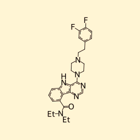 CCN(CC)C(=O)c1cccc2[nH]c3c(N4CCN(CCc5ccc(F)c(F)c5)CC4)ncnc3c12